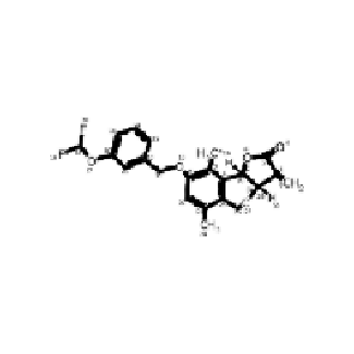 C=C1C(=O)O[C@H]2c3c(C)c(OCc4cccc(OC(F)F)c4)cc(C)c3CC[C@@H]12